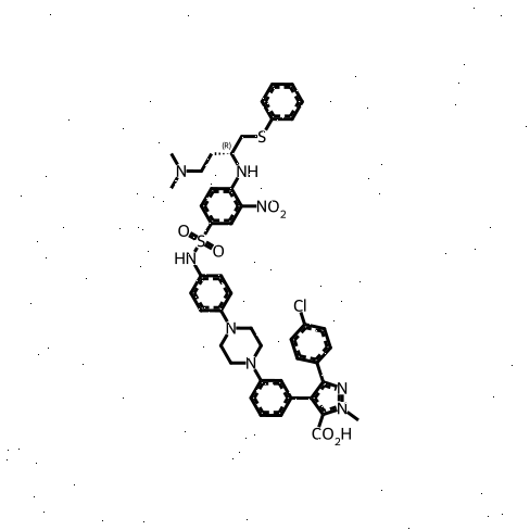 CN(C)CC[C@H](CSc1ccccc1)Nc1ccc(S(=O)(=O)Nc2ccc(N3CCN(c4cccc(-c5c(-c6ccc(Cl)cc6)nn(C)c5C(=O)O)c4)CC3)cc2)cc1[N+](=O)[O-]